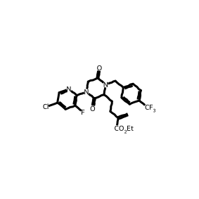 C=C(CCC1C(=O)N(c2ncc(Cl)cc2F)CC(=O)N1Cc1ccc(C(F)(F)F)cc1)C(=O)OCC